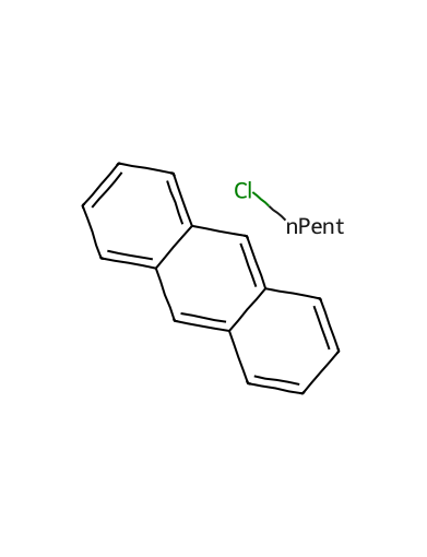 CCCCCCl.c1ccc2cc3ccccc3cc2c1